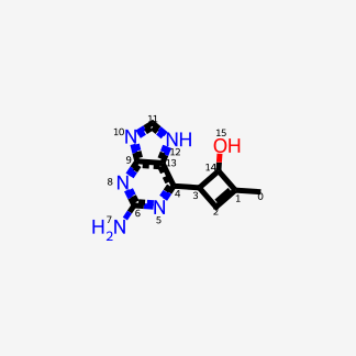 CC1=CC(c2nc(N)nc3nc[nH]c23)C1O